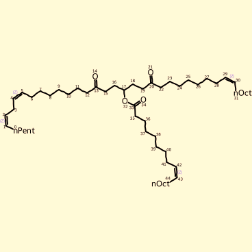 CCCCC/C=C\C/C=C\CCCCCCCC(=O)CCC(CCC(=O)CCCCCCC/C=C\CCCCCCCC)OC(=O)CCCCCCC/C=C\CCCCCCCC